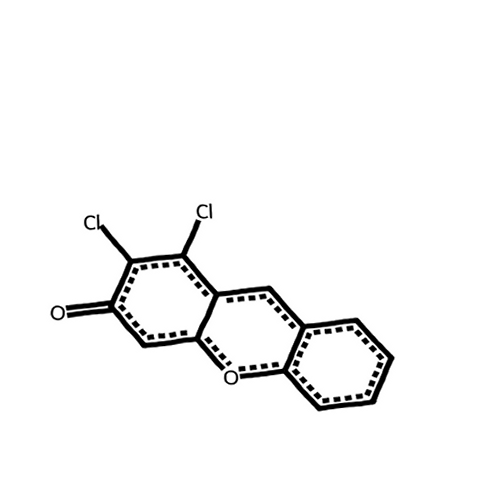 O=c1cc2oc3ccccc3cc-2c(Cl)c1Cl